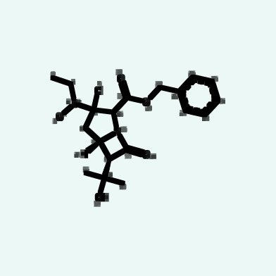 CC[S+]([O-])C1(Cl)C[C@H]2[C@H](C(C)(C)O)C(=O)N2C1C(=O)OCc1ccccc1